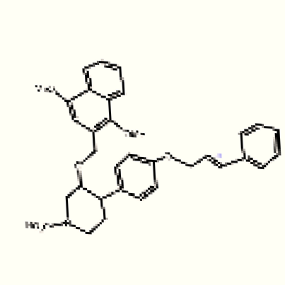 COc1cc(COC2CN(C(=O)O)CCC2c2ccc(OC/C=C/c3ccccc3)cc2)c(OC)c2ccccc12